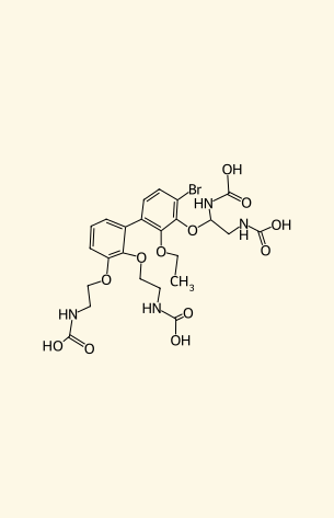 CCOc1c(-c2cccc(OCCNC(=O)O)c2OCCNC(=O)O)ccc(Br)c1OC(CNC(=O)O)NC(=O)O